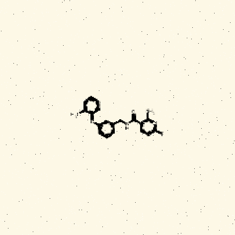 Cc1ccccc1Oc1cccc(CNC(=O)c2ccc(F)nc2N)c1